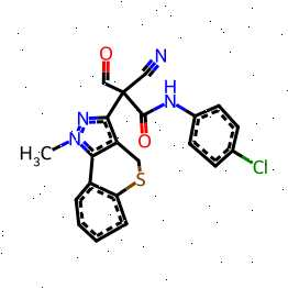 Cn1nc(C(C#N)(C=O)C(=O)Nc2ccc(Cl)cc2)c2c1-c1ccccc1SC2